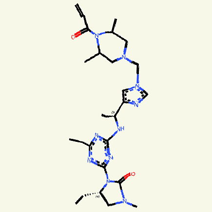 C=CC(=O)N1C(C)CN(Cn2cnc([C@H](C)Nc3nc(C)nc(N4C(=O)N(C)C[C@@H]4CC)n3)c2)CC1C